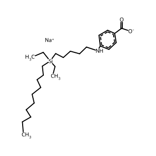 CCCCCCCCCC[Si](CC)(CC)CCCCCNc1ccc(C(=O)[O-])cc1.[Na+]